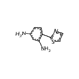 Nc1ccc(-c2nccs2)c(N)c1